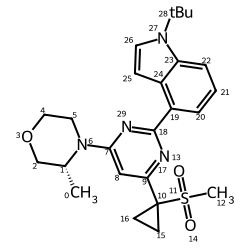 C[C@@H]1COCCN1c1cc(C2(S(C)(=O)=O)CC2)nc(-c2cccc3c2ccn3C(C)(C)C)n1